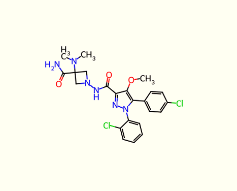 COc1c(C(=O)NN2CC(C(N)=O)(N(C)C)C2)nn(-c2ccccc2Cl)c1-c1ccc(Cl)cc1